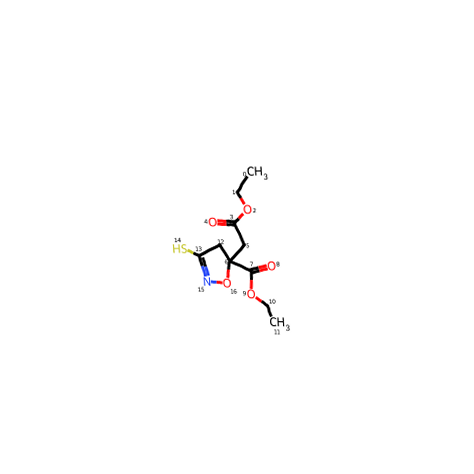 CCOC(=O)CC1(C(=O)OCC)CC(S)=NO1